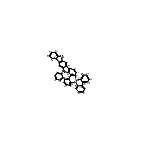 c1ccc(-n2c3cc4c(cc3c3ccc5c(c32)-c2ccccc2N2B5c3ccccc3-c3ccccc32)oc2ccccc24)cc1